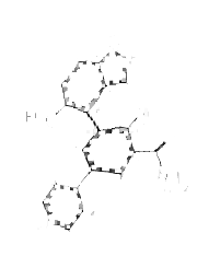 Cc1ccc2[nH]ncc2c1-c1cc(-c2ccncc2)cc(C(N)=O)c1N